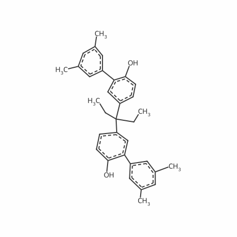 CCC(CC)(c1ccc(O)c(-c2cc(C)cc(C)c2)c1)c1ccc(O)c(-c2cc(C)cc(C)c2)c1